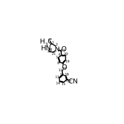 CC1CN(C(=O)c2ccc(OCc3cccc(C#N)c3)cc2)CCN1